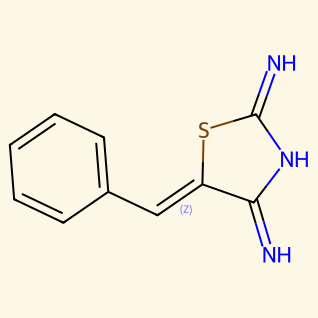 N=C1NC(=N)/C(=C/c2ccccc2)S1